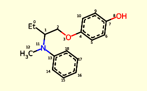 CCC(COc1ccc(O)cc1)N(C)c1ccccc1